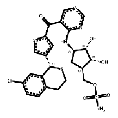 NS(=O)(=O)OC[C@H]1C[C@@H](Nc2ncncc2C(=O)c2cc([C@@H]3SCCc4ccc(Cl)cc43)cs2)[C@H](O)[C@@H]1O